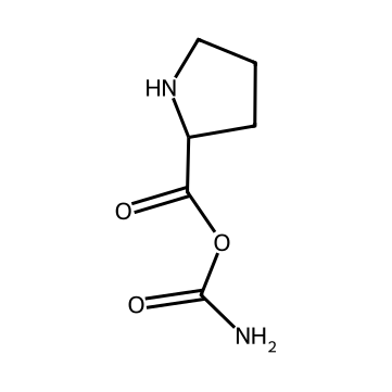 NC(=O)OC(=O)C1CCCN1